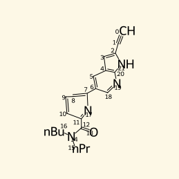 C#Cc1cc2cc(-c3cccc(C(=O)N(CCC)CCCC)n3)cnc2[nH]1